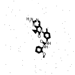 COc1ccccc1NC(=O)Nc1ccc(C)c(N2Cc3cnc(N)nc3C3(CC3)C2=O)c1